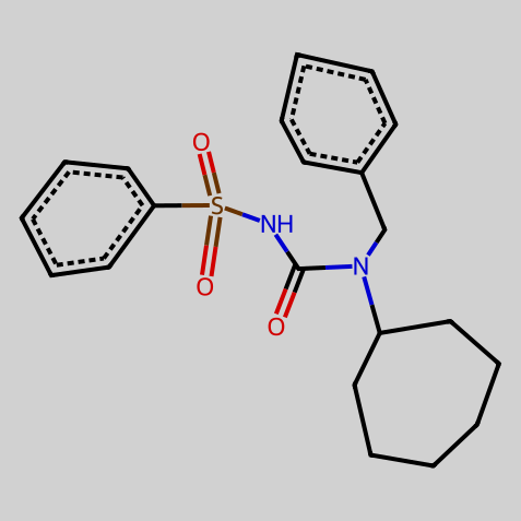 O=C(NS(=O)(=O)c1ccccc1)N(Cc1ccccc1)C1CCCCCC1